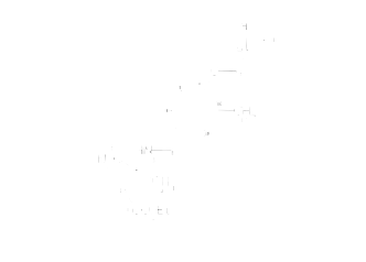 CCOC(=O)CC(C)(C)NCc1ccc(OCC2CC2)c(C)c1